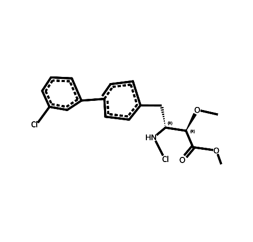 COC(=O)[C@H](OC)[C@@H](Cc1ccc(-c2cccc(Cl)c2)cc1)NCl